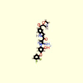 Nc1c(C(=O)c2cc3cc(C(=O)C4CNCCO4)ccc3[nH]2)cnn1-c1ccc(Oc2cccc(F)c2F)cc1O